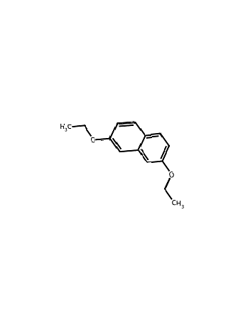 CCOc1ccc2ccc(OCC)cc2c1